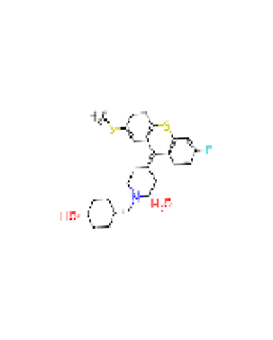 CSc1ccc2c(c1)C(=C1CCN(C[C@H]3CC[C@H](O)CC3)CC1)c1ccc(F)cc1S2.O